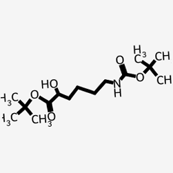 CC(C)(C)OC(=O)NCCCCC(O)C(=O)OC(C)(C)C